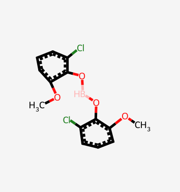 COc1cccc(Cl)c1OBOc1c(Cl)cccc1OC